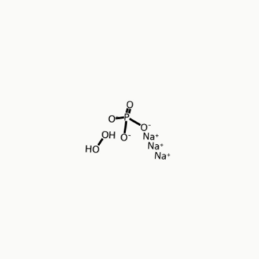 O=P([O-])([O-])[O-].OO.[Na+].[Na+].[Na+]